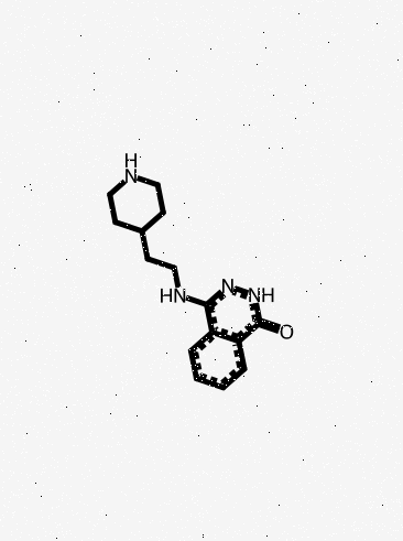 O=c1[nH]nc(NCCC2CCNCC2)c2ccccc12